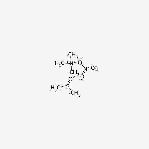 CC(C)=O.C[N+](C)(C)O[N+](=O)[O-]